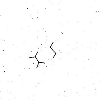 O=C(O)C(O)C(O)C(=O)O.O=C(O)[C@H](O)[C@@H](O)C(=O)O